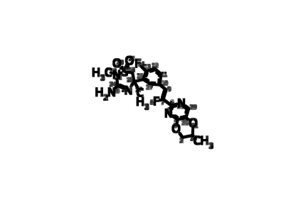 CC1COc2nc(/C(F)=C/c3ccc(F)c(C4(C)CS(=O)(=O)N(C)C(N)=N4)c3)ncc2O1